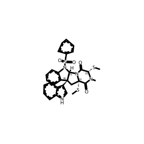 CS[C@H]1C(=O)N2[C@H]3N(S(=O)(=O)c4ccccc4)c4ccccc4[C@@]3(c3c[nH]c4ccccc34)C[C@]2(SC)C(=O)N1C